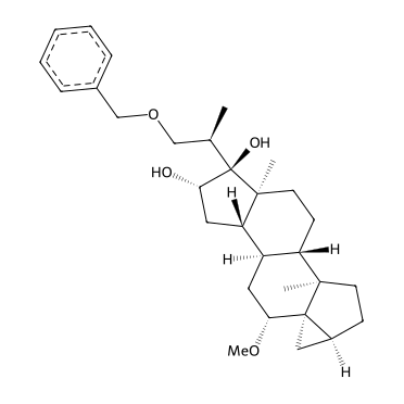 CO[C@@H]1C[C@H]2[C@@H]3C[C@H](O)[C@](O)([C@H](C)COCc4ccccc4)[C@@]3(C)CC[C@@H]2[C@@]2(C)CC[C@H]3C[C@]312